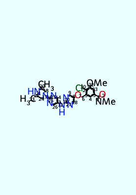 CNC(=O)c1cc(COc2cnc(Nc3cnc(N4C[C@@H](C)N[C@@H](C)C4)nc3)nc2)c(Cl)c(OC)c1